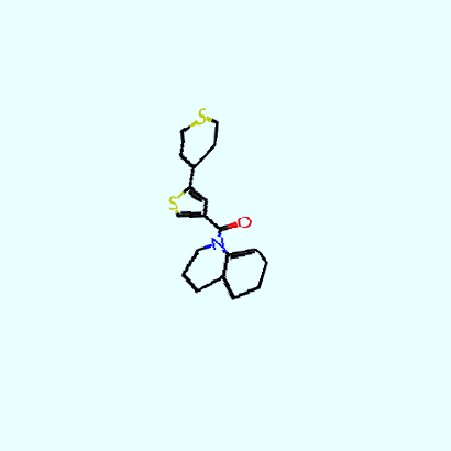 O=C(c1csc(C2CCSCC2)c1)N1CCCC2CCCC=C21